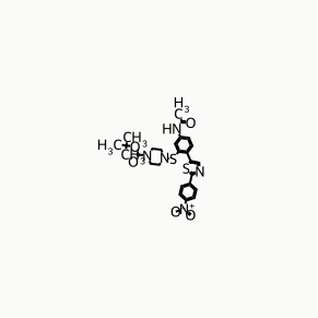 CC(=O)Nc1ccc(-c2cnc(-c3ccc([N+](=O)[O-])cc3)s2)c(SN2CCN(C(=O)OC(C)(C)C)CC2)c1